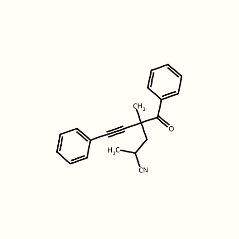 CC(C#N)CC(C)(C#Cc1ccccc1)C(=O)c1ccccc1